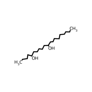 CCCCCCCCCC(O)CCCCCC(O)CCCC